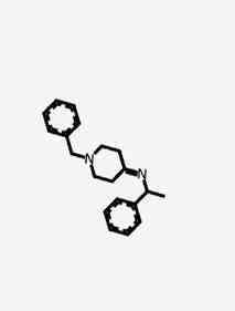 CC(N=C1CCN(Cc2ccccc2)CC1)c1ccccc1